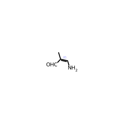 C/C(C=O)=C/N